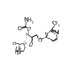 NC(=O)O[C@@H](C[C@@H]1CCNC1=O)C(=O)COc1ccnc(C(F)(F)F)n1